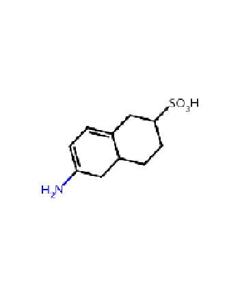 NC1=CC=C2CC(S(=O)(=O)O)CCC2C1